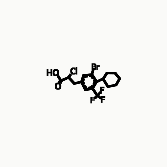 O=C(O)C(Cl)Cc1cc(Br)c(C2CCCCC2)c(C(F)(F)F)c1